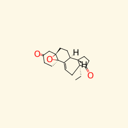 CC[C@]12CC=C3[C@@H](CC[C@@]45CC(=O)CC[C@@]34O5)[C@@H]1CCC2=O